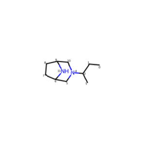 CCC(C)N1CC2CCC(C1)N2